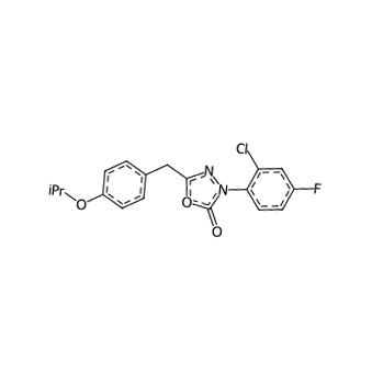 CC(C)Oc1ccc(Cc2nn(-c3ccc(F)cc3Cl)c(=O)o2)cc1